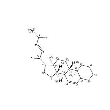 CC(C)C(C)C=CC(C)[C@H]1CC[C@H]2[C@@H]3C=CC4CCCC[C@]4(C)[C@H]3CC[C@]12C